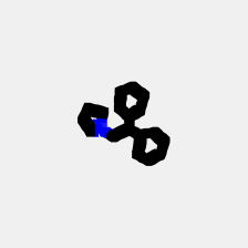 C(=C(c1ccccc1)c1ccccc1)n1cccc1